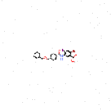 COC(=O)c1cc(NC(=O)[C@H]2CC[C@H](COCc3ccccc3)CC2)c(I)cc1Br